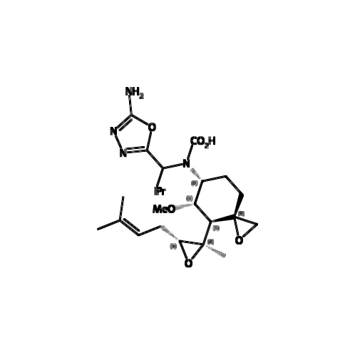 CO[C@@H]1[C@H](N(C(=O)O)C(c2nnc(N)o2)C(C)C)CC[C@]2(CO2)[C@H]1[C@@]1(C)O[C@@H]1CC=C(C)C